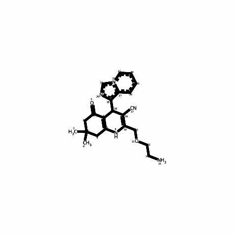 CC1(C)CC(=O)C2=C(C1)NC(COCCN)=C(C#N)C2c1ncn2ccccc12